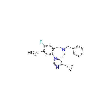 O=C(O)c1cc2c(cc1F)CN(Cc1ccccc1)Cc1c(C3CC3)ncn1-2